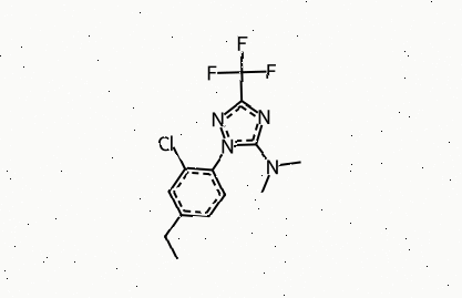 CCc1ccc(-n2nc(C(F)(F)F)nc2N(C)C)c(Cl)c1